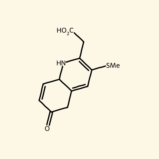 CSC1=C(CC(=O)O)NC2C=CC(=O)CC2=C1